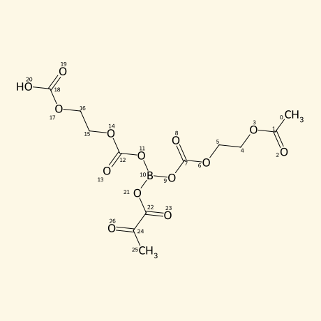 CC(=O)OCCOC(=O)OB(OC(=O)OCCOC(=O)O)OC(=O)C(C)=O